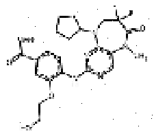 COC(=O)c1ccc(Nc2ncc3c(n2)N(C2CCCC2)CC(F)(F)C(=O)N3C)c(OCCO)c1